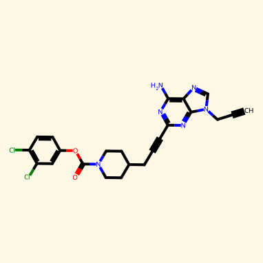 C#CCn1cnc2c(N)nc(C#CCC3CCN(C(=O)Oc4ccc(Cl)c(Cl)c4)CC3)nc21